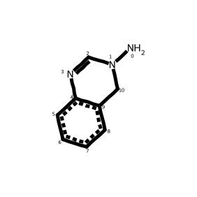 NN1C=Nc2ccccc2C1